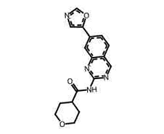 O=C(Nc1ncc2ccc(-c3cnco3)cc2n1)C1CCOCC1